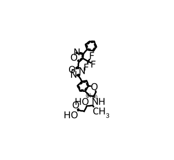 CC(CCC(=O)O)N[C@@H]1COc2cc(-c3noc(-c4onc(-c5ccccc5)c4C(F)(F)F)n3)ccc2[C@H]1O